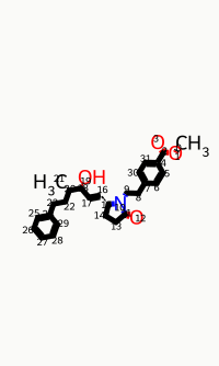 COC(=O)c1ccc(CCN2C(=O)CC[C@@H]2/C=C/[C@@H](O)[C@@H](C)CCc2ccccc2)cc1